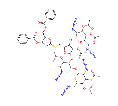 CC(=O)OC1C(O[C@H]2OC(CN=[N+]=[N-])[C@@H](OC(C)=O)C(OC(C)=O)C2N=[N+]=[N-])[C@@H](CS[C@H]2CC(OC(=O)c3ccccc3)[C@@H](COC(=O)c3ccccc3)O2)O[C@H]1OC(C(OC(C)=O)[C@@H](C)N=[N+]=[N-])[C@@H](C)O[C@H]1OC(CN=[N+]=[N-])[C@@H](OC(C)=O)C(OC(C)=O)C1N=[N+]=[N-]